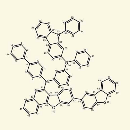 c1ccc(-c2ccc(N(c3cccc(N(c4ccccc4)c4ccc5c6ccccc6n(-c6ccccc6)c5c4)c3)c3cc4ccccc4c4oc5cc(-c6ccc7sc8ccccc8c7c6)ccc5c34)cc2)cc1